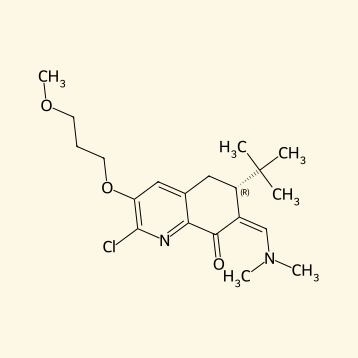 COCCCOc1cc2c(nc1Cl)C(=O)C(=CN(C)C)[C@@H](C(C)(C)C)C2